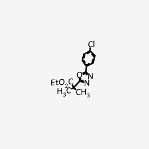 CCOC(=O)C(C)(C)c1nnc(-c2ccc(Cl)cc2)o1